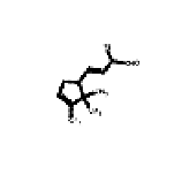 CCC(C=O)/C=C/C1CC=C(C)C1(C)C